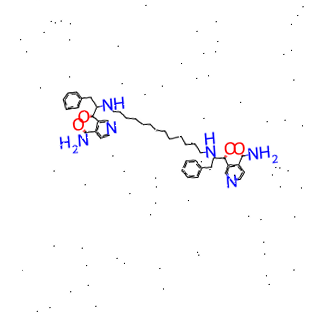 NC(=O)c1ccncc1C(=O)C(Cc1ccccc1)NCCCCCCCCCCCCCNC(Cc1ccccc1)C(=O)c1cnccc1C(N)=O